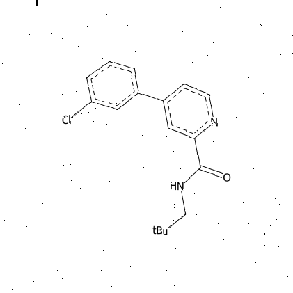 CC(C)(C)CNC(=O)c1cc(-c2cccc(Cl)c2)ccn1